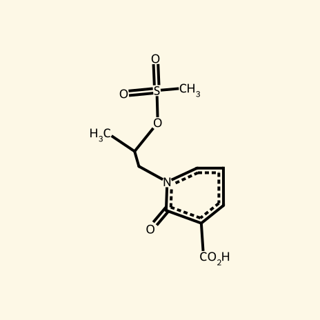 CC(Cn1cccc(C(=O)O)c1=O)OS(C)(=O)=O